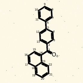 O=C(c1ccc(-c2ccccc2)cc1)c1cccc2ccccc12